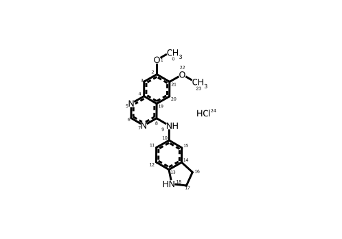 COc1cc2ncnc(Nc3ccc4c(c3)CCN4)c2cc1OC.Cl